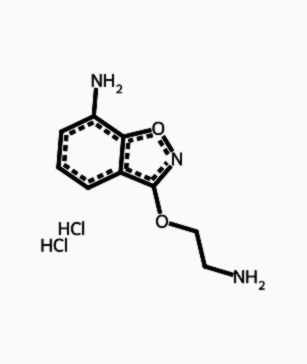 Cl.Cl.NCCOc1noc2c(N)cccc12